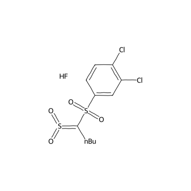 CCCCC(=S(=O)=O)S(=O)(=O)c1ccc(Cl)c(Cl)c1.F